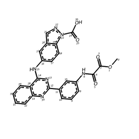 COC(=O)C(=O)Nc1cccc(-c2nc(Nc3ccc4c(cnn4C(=O)O)c3)c3ccccc3n2)c1